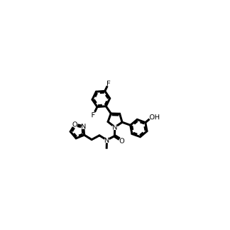 CN(CCc1ccon1)C(=O)N1CC(c2cc(F)ccc2F)=CC1c1cccc(O)c1